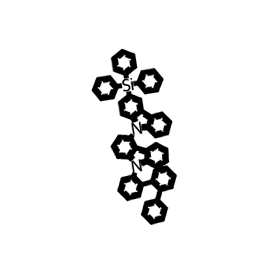 c1ccc(-c2ccccc2-c2ccccc2-n2c3ccccc3c3c(-n4c5ccccc5c5cc([Si](c6ccccc6)(c6ccccc6)c6ccccc6)ccc54)cccc32)cc1